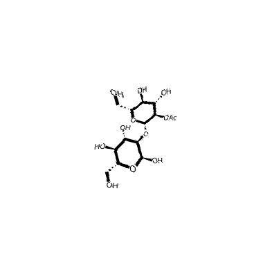 CC(=O)O[C@H]1[C@H](O[C@@H]2[C@@H](O)[C@H](O)[C@@H](CO)O[C@@H]2O)O[C@H](CO)[C@@H](O)[C@@H]1O